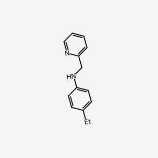 CCc1ccc(NCc2ccccn2)cc1